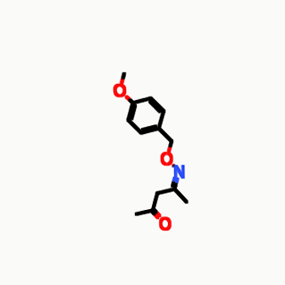 COc1ccc(CON=C(C)CC(C)=O)cc1